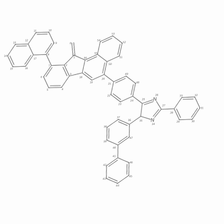 C=C1c2c(cccc2-c2cccc3ccccc23)-c2cc(-c3ccc(C4=NC(c5ccccc5)=NC4c4cccc(-c5ccccc5)c4)cc3)c3ccccc3c21